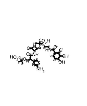 CC(C)(O/N=C(\C(=O)N[C@@H]1C(=O)N2CC(SCCNC(=O)c3ccc(O)c(O)c3Cl)(C(=O)O)SC12)c1csc(N)n1)C(=O)O